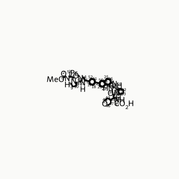 COC(=O)NC(C(=O)N1CCC[C@H]1c1ncc(-c2ccc(-c3ccc4c(ccc5nc([C@@H]6[C@H]7CC[C@H](C7)N6C(=O)C(NC(=O)O)C6CCOCC6)[nH]c54)c3)cc2)[nH]1)C(C)C